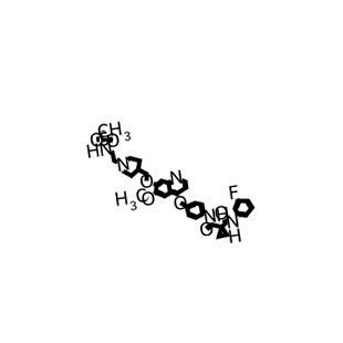 COc1cc2c(Oc3ccc(NC(=O)C4(C(=O)Nc5cccc(F)c5)CC4)cc3)ccnc2cc1OCC1CCN(CCNS(C)(=O)=O)CC1